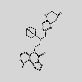 O=C1CNc2ccc(CN(CCn3c(=O)c4cccn4c4c(F)cccc43)C34CCC(CC3)OC4)nc2O1